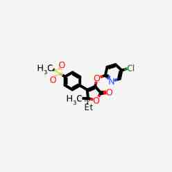 CC[C@@]1(C)OC(=O)C(Oc2ccc(Cl)cn2)=C1c1ccc(S(C)(=O)=O)cc1